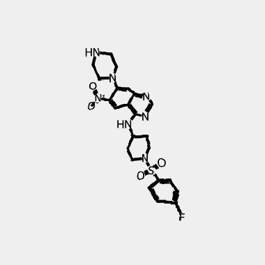 O=[N+]([O-])c1cc2c(NC3CCN(S(=O)(=O)c4ccc(F)cc4)CC3)ncnc2cc1N1CCNCC1